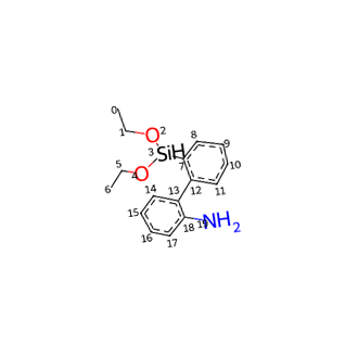 CCO[SiH](OCC)c1ccccc1-c1ccccc1N